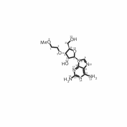 COCCO[C@H]1[C@@H](O)[C@H](n2cnc3c(N)nc(N)nc32)O[C@@H]1CO